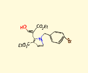 CCOC(=O)/C(=C\O)c1c(C(=O)OCC)ccn1Cc1ccc(Br)cc1